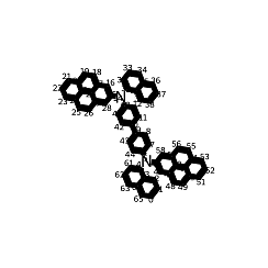 c1ccc2c(N(c3ccc(-c4ccc(N(c5cc6ccc7cccc8ccc(c5)c6c78)c5cccc6ccccc56)cc4)cc3)c3cc4ccc5cccc6ccc(c3)c4c56)cccc2c1